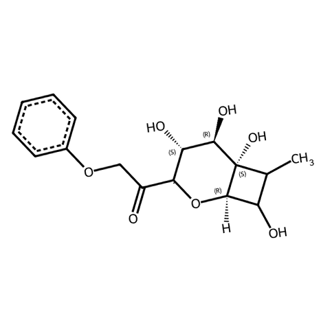 CC1C(O)[C@H]2O[C](C(=O)COc3ccccc3)[C@H](O)[C@@H](O)[C@@]12O